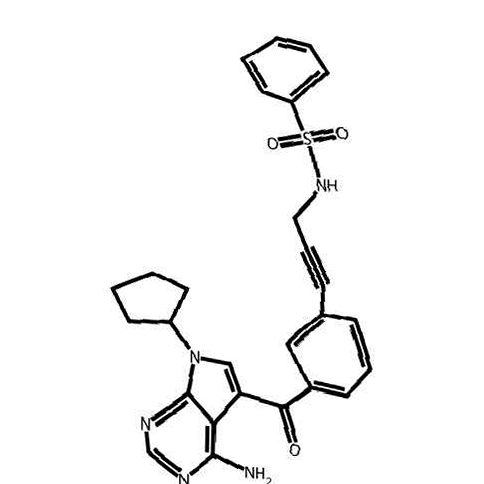 Nc1ncnc2c1c(C(=O)c1cccc(C#CCNS(=O)(=O)c3ccccc3)c1)cn2C1CCCC1